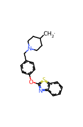 [CH2]C1CCN(Cc2ccc(Oc3nc4ccccc4s3)cc2)CC1